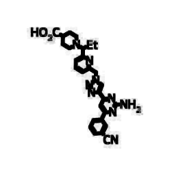 CCC(c1cccc(Cn2cc(-c3cc(-c4cccc(C#N)c4)nc(N)n3)nn2)n1)N1CCC(C(=O)O)CC1